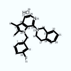 Cc1c(C)n(Cc2cccc(F)c2)c2c(N3CCc4ccccc4C3)nccc12.Cl